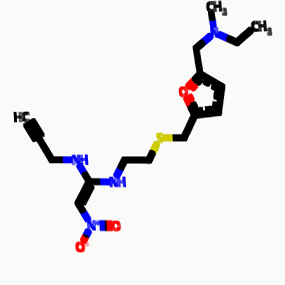 C#CCN/C(=C/[N+](=O)[O-])NCCSCc1ccc(CN(C)CC)o1